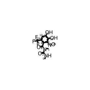 CNC(=O)N(C)C(=O)c1c(C(F)(F)F)cc(O)c(O)c1N=O